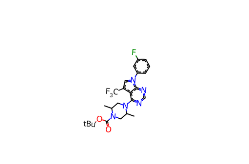 CC1CN(c2ncnc3c2c(C(F)(F)F)cn3-c2cccc(F)c2)C(C)CN1C(=O)OC(C)(C)C